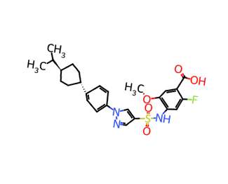 COc1cc(C(=O)O)c(F)cc1NS(=O)(=O)c1cnn(-c2ccc([C@H]3CC[C@H](C(C)C)CC3)cc2)c1